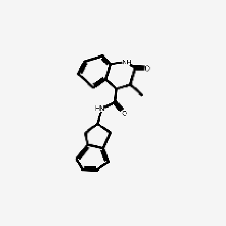 CC1C(=O)Nc2ccccc2C1C(=O)NC1Cc2ccccc2C1